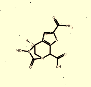 NC(=O)c1cc2c(s1)C(C(=O)O)N1C[C@H]2N(O)C1=O